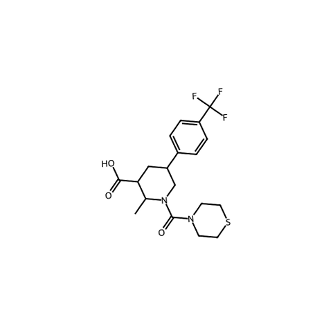 CC1C(C(=O)O)CC(c2ccc(C(F)(F)F)cc2)CN1C(=O)N1CCSCC1